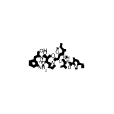 CCC(C)C(C(CC(=O)N1CCCC1C(OC)C(C)C(=O)NC(CO)Cc1cccc(N)c1)OC)N(C)C(=O)C(NC(=O)C1C(C)CC(CC)N1C)C(C)C